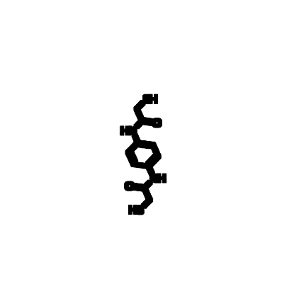 O=C(CS)Nc1ccc(NC(=O)CS)cc1